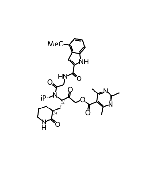 COc1cccc2[nH]c(C(=O)NCC(=O)N(C(C)C)[C@@H](C[C@@H]3CCCNC3=O)C(=O)COC(=O)c3c(C)nc(C)nc3C)cc12